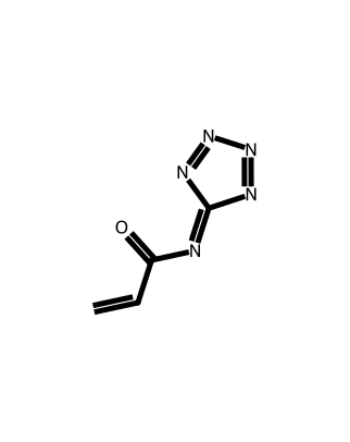 C=CC(=O)N=C1N=NN=N1